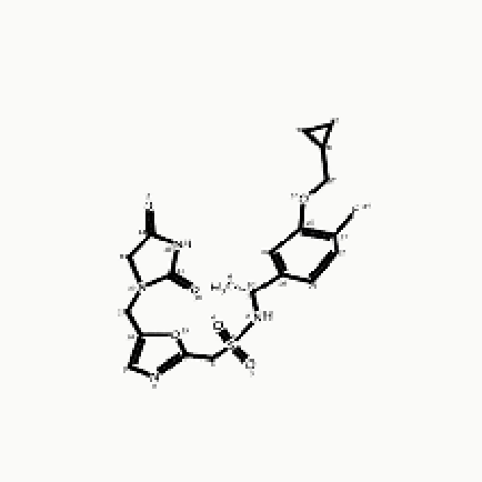 C[C@@H](NS(=O)(=O)Cc1ncc(CN2CC(=O)NC2=O)o1)c1ccc(F)c(OCC2CC2)c1